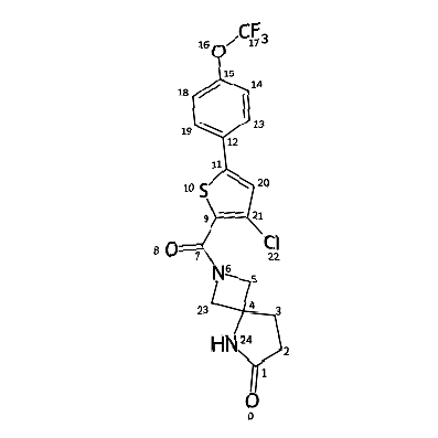 O=C1CCC2(CN(C(=O)c3sc(-c4ccc(OC(F)(F)F)cc4)cc3Cl)C2)N1